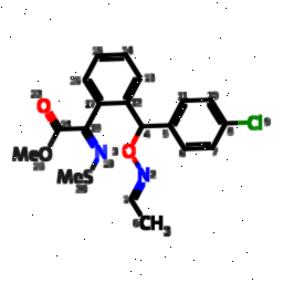 CC=NOC(c1ccc(Cl)cc1)c1ccccc1C(=NSC)C(=O)OC